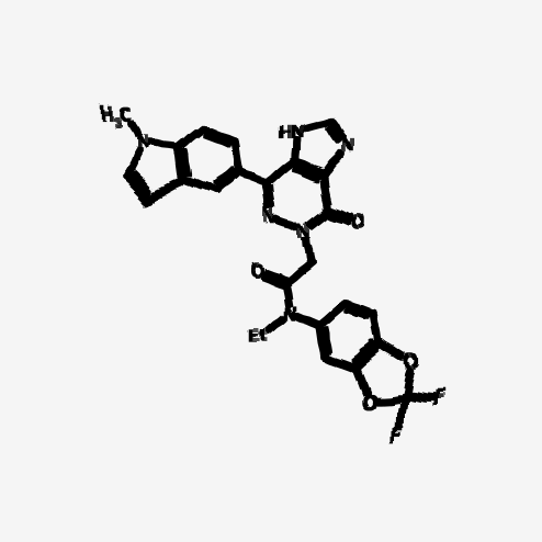 CCN(C(=O)Cn1nc(-c2ccc3c(ccn3C)c2)c2[nH]cnc2c1=O)c1ccc2c(c1)OC(F)(F)O2